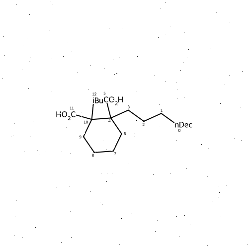 CCCCCCCCCCCCCC1(C(=O)O)CCCCC1(C(=O)O)C(C)CC